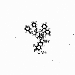 COc1ccc(Cc2c(O[C@]3(O)O[C@H](COCc4ccccc4)[C@@H](OCc4ccccc4)[C@H](OCc4ccccc4)[C@H]3OCc3ccccc3)nn(C(C)C)c2C)c(F)c1F